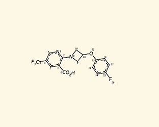 O=C(O)c1cc(C(F)(F)F)cnc1N1CC(Oc2ccc(F)cc2)C1